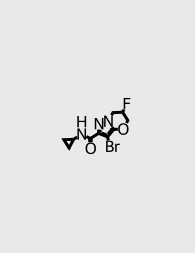 O=C(NC1CC1)c1nn2c(c1Br)OCC(F)C2